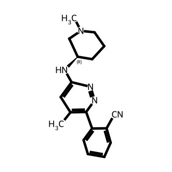 Cc1cc(N[C@@H]2CCCN(C)C2)nnc1-c1ccccc1C#N